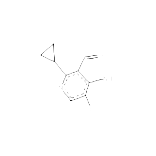 Nc1c(Cl)cnc(C2CC2)c1C=O